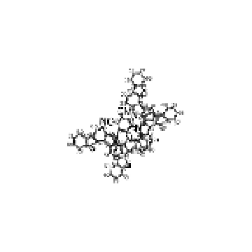 N#Cc1c(C#N)c(-n2c3ccccc3c3c4sc5ccccc5c4ccc32)c(-n2c3ccccc3c3c4sc5ccccc5c4ccc32)c(-n2c3ccccc3c3c4sc5ccccc5c4ccc32)c1-n1c2ccccc2c2c3sc4ccccc4c3ccc21